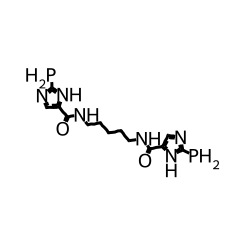 O=C(NCCCCCNC(=O)c1cnc(P)[nH]1)c1cnc(P)[nH]1